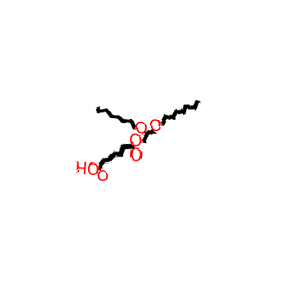 CCCCCCCCOCC(COC(=O)CCCCCC(=O)O)OCCCCCCCC